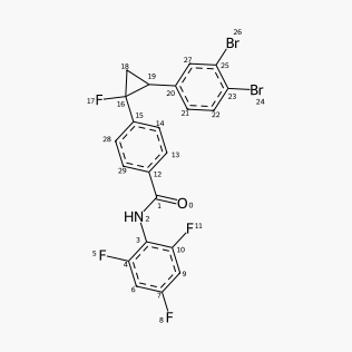 O=C(Nc1c(F)cc(F)cc1F)c1ccc(C2(F)CC2c2ccc(Br)c(Br)c2)cc1